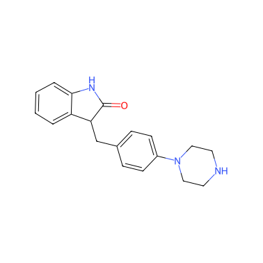 O=C1Nc2ccccc2C1Cc1ccc(N2CCNCC2)cc1